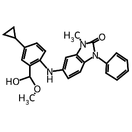 COC(O)c1cc(C2CC2)ccc1Nc1ccc2c(c1)n(C)c(=O)n2-c1ccccc1